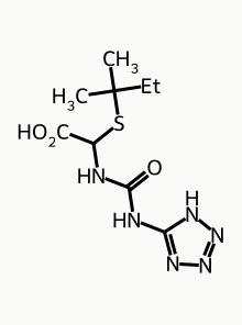 CCC(C)(C)SC(NC(=O)Nc1nnn[nH]1)C(=O)O